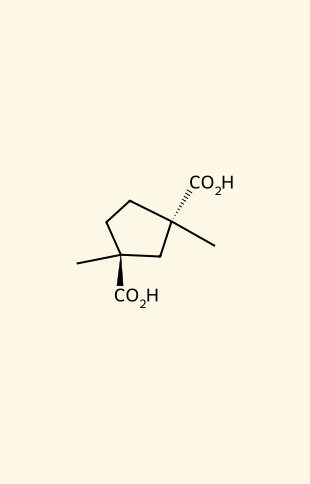 C[C@]1(C(=O)O)CC[C@](C)(C(=O)O)C1